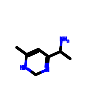 CC1=CC(C(C)N)=NCN1